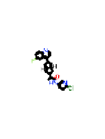 CC(C(=O)Nc1ccc(Cl)nc1)[C@H]1C[C@H]2CC(c3ccnc4ccc(F)cc34)C[C@H]2C1